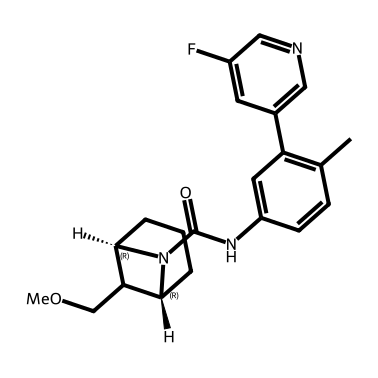 COCC1[C@H]2CCC[C@H]1N2C(=O)Nc1ccc(C)c(-c2cncc(F)c2)c1